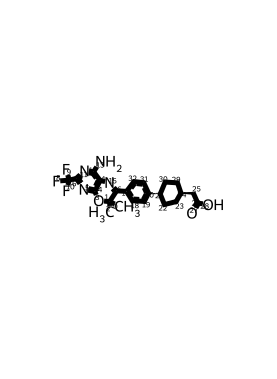 CC1(C)Oc2nc(C(F)(F)F)nc(N)c2N=C1c1ccc([C@H]2CC[C@H](CC(=O)O)CC2)cc1